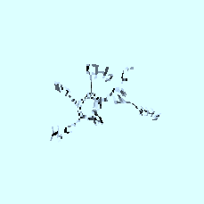 Cc1nn([S+](C)[O-])c(C)c1C(C)C